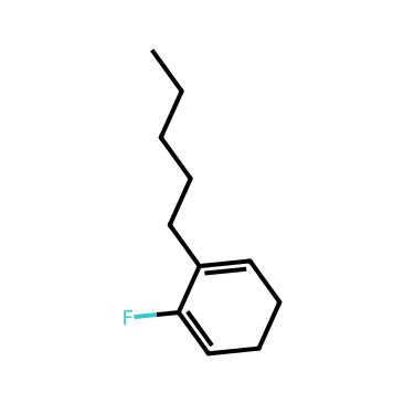 CCCCCC1=CCCC=C1F